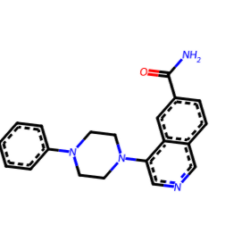 NC(=O)c1ccc2cncc(N3CCN(c4ccccc4)CC3)c2c1